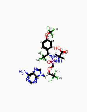 CC(C)(NP(=O)(CO[C@@H](Cn1cnc2c(N)ncnc21)C(F)(F)F)N[C@H](c1ccc(OC(F)(F)F)cc1)C(F)(F)F)C(=O)O